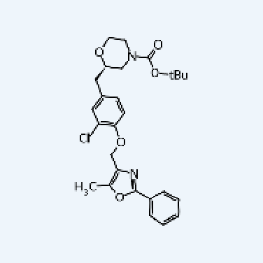 Cc1oc(-c2ccccc2)nc1COc1ccc(C[C@@H]2CN(C(=O)OC(C)(C)C)CCO2)cc1Cl